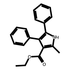 CCOC(=O)c1c(C)[nH]c(-c2ccccc2)c1-c1ccccc1